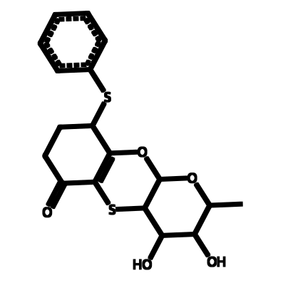 CC1OC2OC3=C(SC2C(O)C1O)C(=O)CCC3Sc1ccccc1